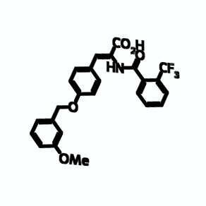 COc1cccc(COc2ccc(C=C(NC(=O)c3ccccc3C(F)(F)F)C(=O)O)cc2)c1